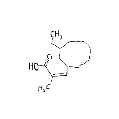 CCC1CCCCCC(C=C(C)C(=O)O)C1